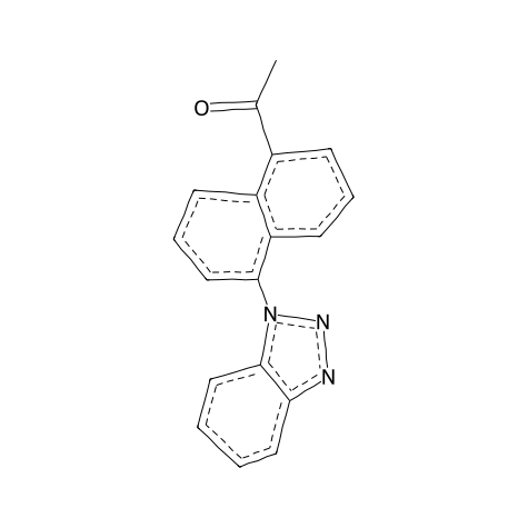 CC(=O)c1cccc2c(-n3nnc4ccccc43)cccc12